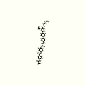 C=C(C)C(=O)Oc1ccc(C(=O)Oc2ccc(OC(=O)/C=C/c3ccc(-c4ccc(-c5ccc(OCCCOC)c(C6CC6)c5)cc4)cc3)c(C)c2)cc1